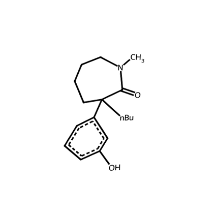 CCCCC1(c2cccc(O)c2)CCCCN(C)C1=O